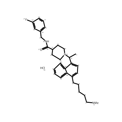 CNCCCCCc1ccc(C(C)N2CCC(C(=O)NCc3cccc(F)c3)CC2)c2ccccc12.Cl